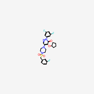 O=c1c(OC2CCCC2)c(N2CCN(S(=O)(=O)Cc3cccc(F)c3)CC2)cnn1-c1cc(F)cc(F)c1